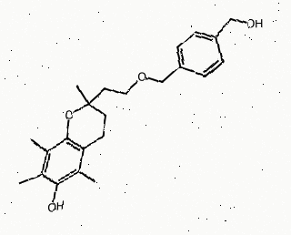 Cc1c(C)c2c(c(C)c1O)CCC(C)(CCOCc1ccc(CO)cc1)O2